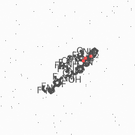 COC(=O)N[C@H](C(=O)NC(Cc1ccc(-c2cnc(N3CC4CCC(C3)N4C3COC3)cc2CC(C)([C@H](NC(=O)OC)C(N)=O)C(F)(F)F)cc1)[C@@H](O)CNCc1c(F)cc(-c2ccn(CC(F)F)n2)cc1F)C(C)(C)C(F)(F)F